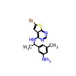 Cc1cc(N)cc([C@@H](C)Nc2ncnc3sc(Br)cc23)c1